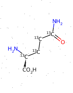 N[13C](=O)[13CH2][13CH2][13C@H](N)[13C](=O)O